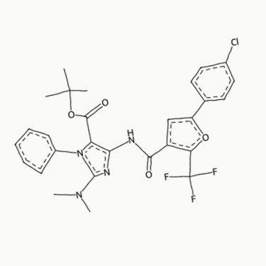 CN(C)c1nc(NC(=O)c2cc(-c3ccc(Cl)cc3)oc2C(F)(F)F)c(C(=O)OC(C)(C)C)n1-c1ccccc1